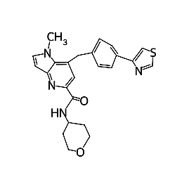 Cn1ccc2nc(C(=O)NC3CCOCC3)cc(Cc3ccc(-c4cscn4)cc3)c21